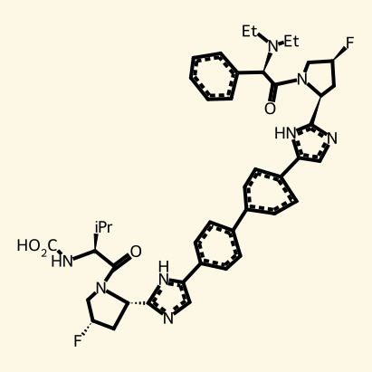 CCN(CC)[C@@H](C(=O)N1C[C@@H](F)C[C@H]1c1ncc(-c2ccc(-c3ccc(-c4cnc([C@@H]5C[C@H](F)CN5C(=O)[C@@H](NC(=O)O)C(C)C)[nH]4)cc3)cc2)[nH]1)c1ccccc1